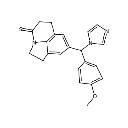 COc1ccc(C(c2cc3c4c(c2)CCN4C(=S)CC3)n2ccnc2)cc1